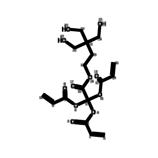 C=CC(=O)OC(OC(=O)C=C)(OC(=O)C=C)C(=O)OCCC(CO)(CO)CO